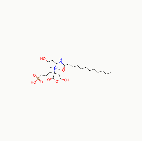 CCCCCCCCCCCC(=O)NC(CCO)[N+](C)(C)C(CCO)(CCCS(=O)(=O)O)C(=O)[O-]